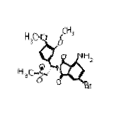 CCOc1cc([C@@H](CS(C)(=O)=O)N2C(=O)c3cc(Br)cc(N)c3C2=O)ccc1OC